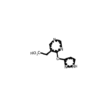 O=C(O)Cc1cncnc1Oc1cc[nH]n1